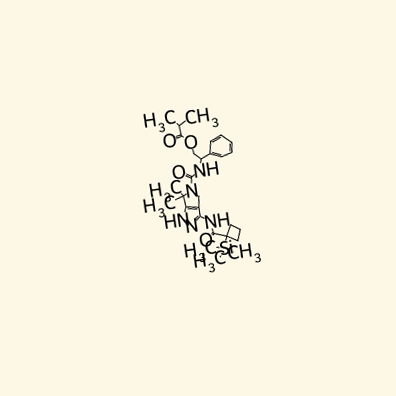 CC(C)C(=O)OCC(NC(=O)N1Cc2c(NC(=O)C3([Si](C)(C)C)CCC3)n[nH]c2C1(C)C)c1ccccc1